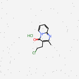 Cc1nc2ccccn2c(=O)c1CCCl.Cl